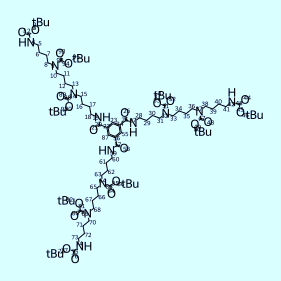 CC(C)(C)OC(=O)NCCCCN(CCCCN(CCCCNC(=O)c1cc(C(=O)NCCCCN(CCCCN(CCCCNC(=O)OC(C)(C)C)C(=O)OC(C)(C)C)C(=O)OC(C)(C)C)cc(C(=O)NCCCCN(CCCCN(CCCCNC(=O)OC(C)(C)C)C(=O)OC(C)(C)C)C(=O)OC(C)(C)C)c1)C(=O)OC(C)(C)C)C(=O)OC(C)(C)C